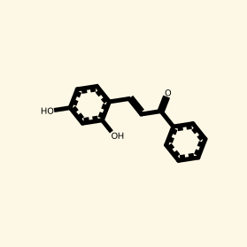 O=C(C=Cc1ccc(O)cc1O)c1ccccc1